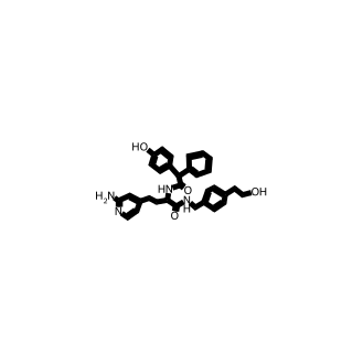 Nc1cc(CCC(NC(=O)C(c2ccccc2)c2ccc(O)cc2)C(=O)NCc2ccc(CCO)cc2)ccn1